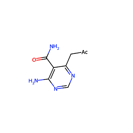 CC(=O)Cc1ncnc(N)c1C(N)=O